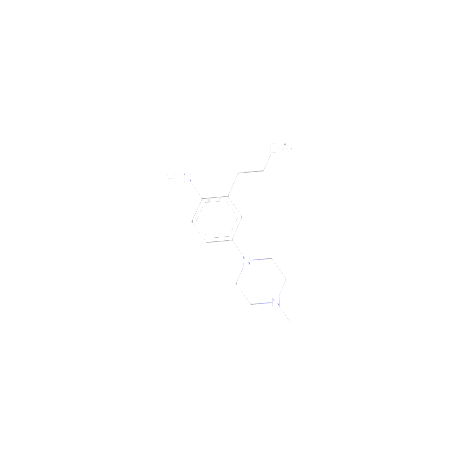 CC(=O)OCCc1cc(N2CCN(C)CC2)ccc1N